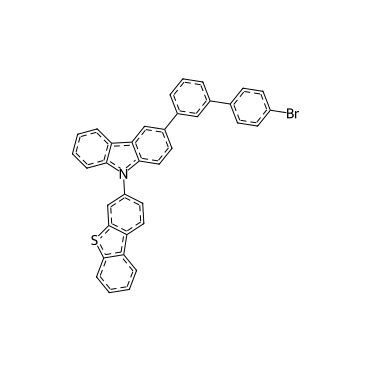 Brc1ccc(-c2cccc(-c3ccc4c(c3)c3ccccc3n4-c3ccc4c(c3)sc3ccccc34)c2)cc1